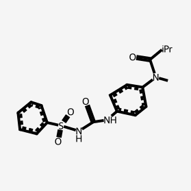 CC(C)C(=O)N(C)c1ccc(NC(=O)NS(=O)(=O)c2ccccc2)cc1